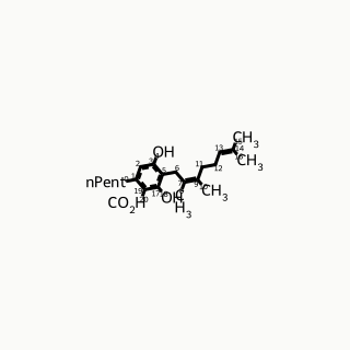 CCCCCc1cc(O)c(C/C(C)=C(/C)CCC=C(C)C)c(O)c1C(=O)O